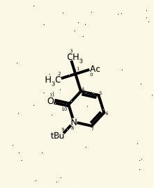 CC(=O)C(C)(C)c1cccn(C(C)(C)C)c1=O